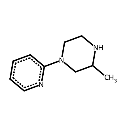 CC1CN(c2ccccn2)CCN1